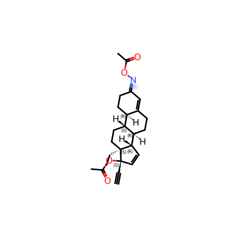 C#C[C@]1(OC(C)=O)C=C[C@H]2[C@@H]3CCC4=C/C(=N/OC(C)=O)CC[C@@H]4[C@H]3CC[C@@]21CC